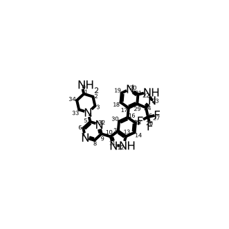 NC1CCN(c2cncc(-c3n[nH]c4ccc(-c5ccnc6[nH]nc(C(F)(F)F)c56)cc34)n2)CC1